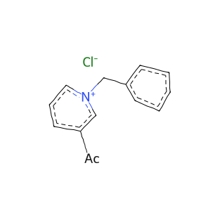 CC(=O)c1ccc[n+](Cc2ccccc2)c1.[Cl-]